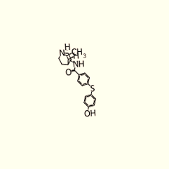 C[C@H]1[C@H](NC(=O)c2ccc(Sc3ccc(O)cc3)cc2)C2CCN1CC2